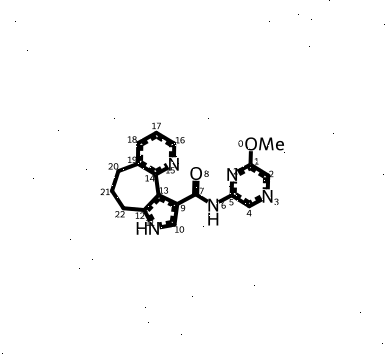 COc1cncc(NC(=O)c2c[nH]c3c2-c2ncccc2CCC3)n1